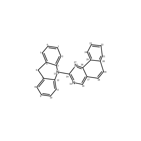 c1ccc2c(c1)Cc1ccccc1N2c1ncc2ccc3ccccc3c2n1